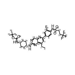 CCc1cc(-c2ccc(NS(=O)(=O)CCC(F)(F)F)c(F)c2)nc2cnc(N[C@H]3CC[C@H](NC(=O)OC(C)(C)C)CC3)nc12